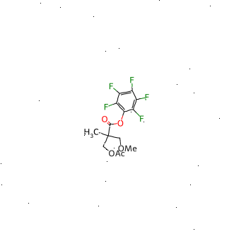 COCC(C)(COC(C)=O)C(=O)Oc1c(F)c(F)c(F)c(F)c1F